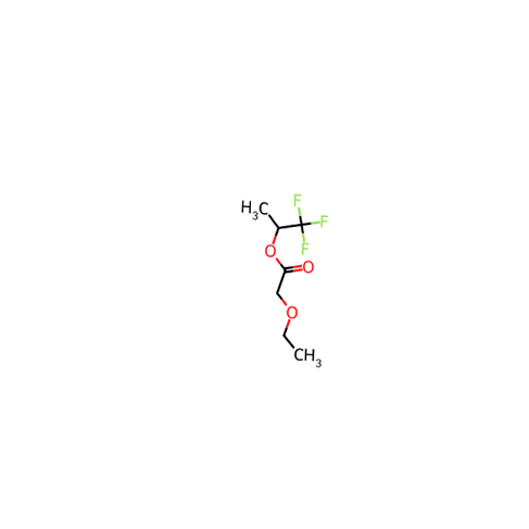 CCOCC(=O)OC(C)C(F)(F)F